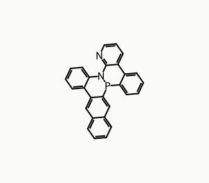 c1ccc2c(c1)-c1cc3ccccc3cc1P1c3ccccc3-c3cccnc3N21